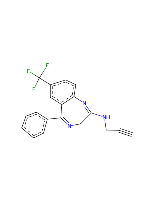 C#CCNC1=Nc2ccc(C(F)(F)F)cc2C(c2ccccc2)=NC1